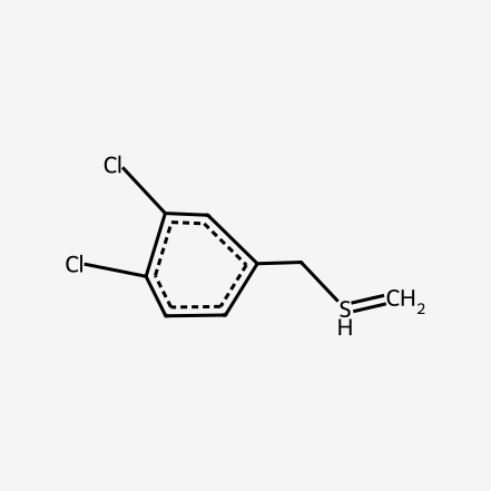 C=[SH]Cc1ccc(Cl)c(Cl)c1